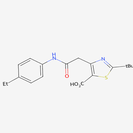 CCc1ccc(NC(=O)Cc2nc(C(C)(C)C)sc2C(=O)O)cc1